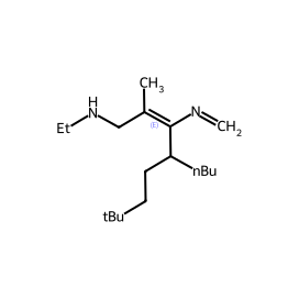 C=N/C(=C(\C)CNCC)C(CCCC)CCC(C)(C)C